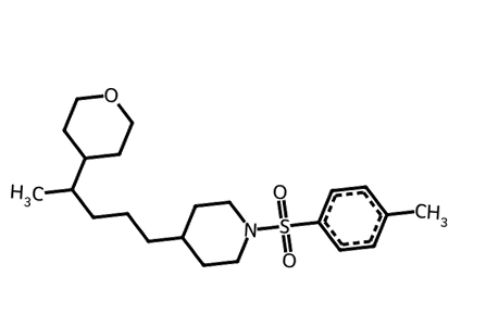 Cc1ccc(S(=O)(=O)N2CCC(CCCC(C)C3CCOCC3)CC2)cc1